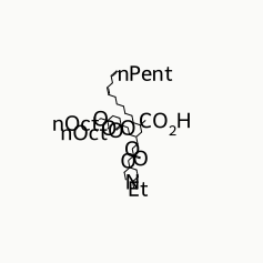 CCCCC/C=C\C/C=C\CCCCCCC(CC(COC(=O)CCC(OCCCCCCCC)OCCCCCCCC)COC(=O)OC1CCN(CC)CC1)C(=O)O